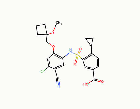 COC1(COc2cc(Cl)c(C#N)cc2NS(=O)(=O)c2cc(C(=O)O)ccc2C2CC2)CCC1